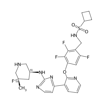 C[C@@]1(F)CNC[C@@H](Nc2nccc(-c3cccnc3Oc3cc(F)c(CNS(=O)(=O)C4CCC4)c(F)c3F)n2)C1